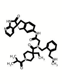 CCC1(C(=O)N(CC(=O)Nc2ccc3c(c2)C[C@@]2(C3)C(=O)Nc3ncccc32)Cc2ccccc2CNC)CCN(C(=O)C(C)C)CC1